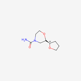 NC(=O)N1CCOC([C@H]2CCCO2)C1